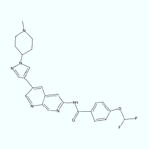 CN1CCC(n2cc(-c3cnc4cnc(NC(=O)c5ccc(OC(F)F)cc5)cc4c3)cn2)CC1